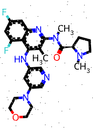 Cc1c(N(C)C(=O)[C@H]2CCCN2C)nc2cc(F)cc(F)c2c1Nc1cncc(N2CCOCC2)c1